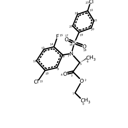 CCOC(=O)[C@@H](C)N(c1cc(Cl)ccc1F)S(=O)(=O)c1ccc(Cl)cc1